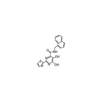 O=C(NCc1cccc2ccccc12)c1nc(-c2nccs2)nc(O)c1O